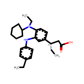 CCc1ccc(Nc2cc([C@@H](CC)CC(=O)O)ccc2N(CC)C2CCCCC2)cc1